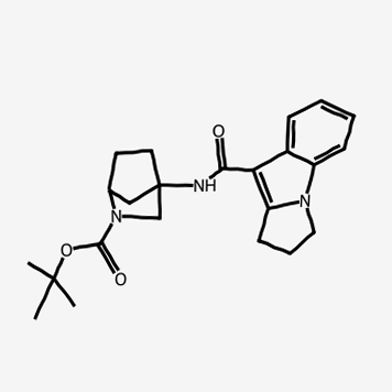 CC(C)(C)OC(=O)N1CC2(NC(=O)c3c4n(c5ccccc35)CCC4)CCC1C2